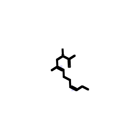 CC/C=C\CC/C=C(\C)CN(C)C(C)=O